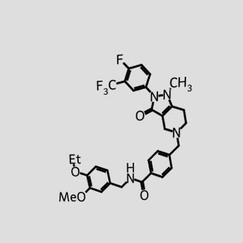 CCOc1ccc(CNC(=O)c2ccc(CN3CCc4c(c(=O)n(-c5ccc(F)c(C(F)(F)F)c5)n4C)C3)cc2)cc1OC